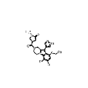 CN1CC(C(=O)N2CCn3c(c(-c4cn[nH]c4)c4c(OCC#N)cc(Cl)c(Cl)c43)C2)CC1=O